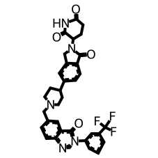 O=C1CCC(N2Cc3cc(C4CCN(Cc5ccc6ncn(-c7cccc(C(F)(F)F)c7)c(=O)c6c5)CC4)ccc3C2=O)C(=O)N1